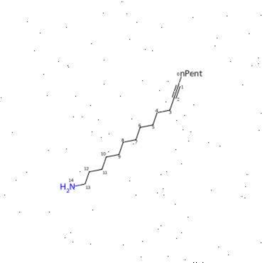 CCCCCC#CCCCCCCCCCCCN